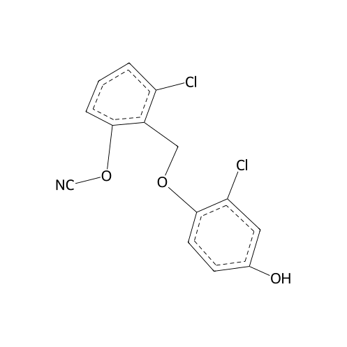 N#COc1cccc(Cl)c1COc1ccc(O)cc1Cl